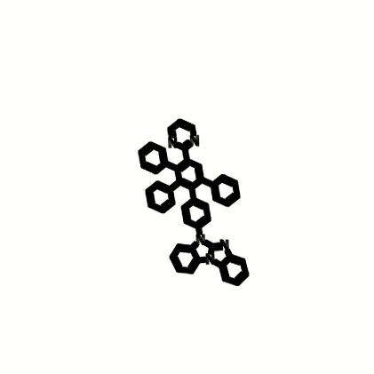 c1ccc(-c2cc(-c3ncccn3)c(-c3ccccc3)c(-c3ccccc3)c2-c2ccc(-n3c4ccccc4n4c5ccccc5nc34)cc2)cc1